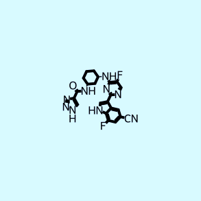 N#Cc1cc(F)c2[nH]cc(-c3ncc(F)c(N[C@H]4CCC[C@@H](NC(=O)c5c[nH]nn5)C4)n3)c2c1